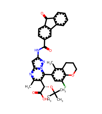 Cc1nc2cc(NC(=O)c3ccc4c(c3)-c3ccccc3C4=O)nn2c(-c2cc(F)c3c(c2C)CCCO3)c1[C@H](OC(C)(C)C)C(=O)O